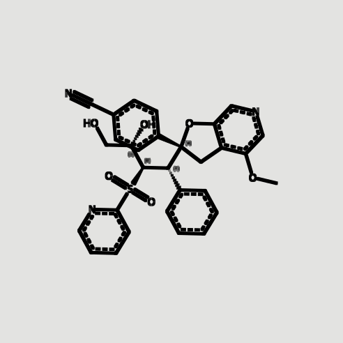 COc1cncc2c1C[C@](c1ccc(C#N)cc1)([C@H](c1ccccc1)[C@H]([C@@H](O)CO)S(=O)(=O)c1ccccn1)O2